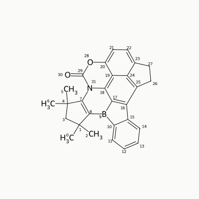 CC1(C)CC(C)(C)C2=C1B1c3ccccc3-c3c1c1c4c(ccc5c4c3CC5)OC(=O)N21